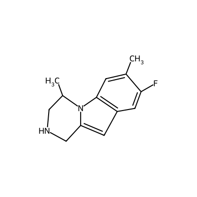 Cc1cc2c(cc1F)cc1n2C(C)CNC1